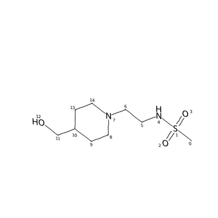 CS(=O)(=O)NCCN1CCC(CO)CC1